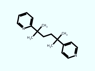 CC(C)(CCC(C)(C)c1ccccn1)c1ccncc1